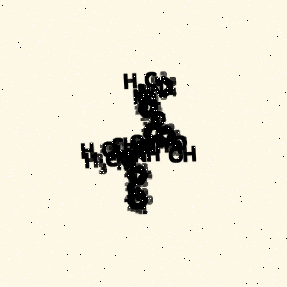 CC1CCCCN1c1nnc2ccc(O[C@@H]3CC[C@H](NC(=O)Nc4cc(C(C)(C)C)nn4-c4cccc(CN5CCCCC5)c4)c4ccccc43)cn12.O=CO